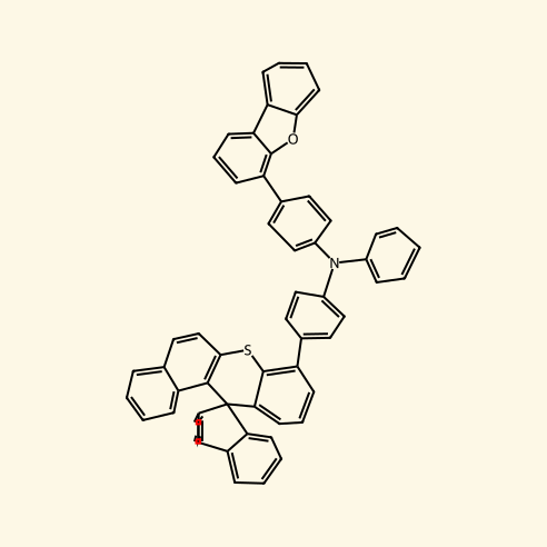 c1ccc(N(c2ccc(-c3cccc4c3Sc3ccc5ccccc5c3C43c4ccccc4-c4ccccc43)cc2)c2ccc(-c3cccc4c3oc3ccccc34)cc2)cc1